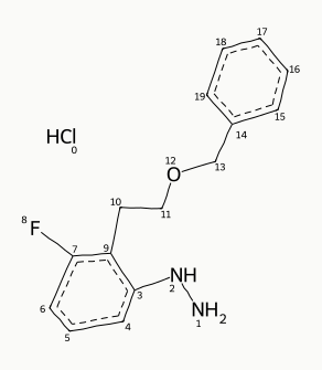 Cl.NNc1cccc(F)c1CCOCc1ccccc1